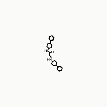 O=C(CCN[C@H]1CC[C@H](c2ccccc2)CC1)NC1CCC(c2ccccc2)CC1